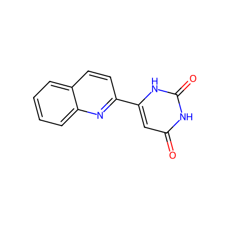 O=c1cc(-c2ccc3ccccc3n2)[nH]c(=O)[nH]1